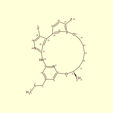 CSCc1cc2nc(c1)O[C@H](C)CCCCCOc1cc(ccc1F)-c1cc(ncc1F)N2